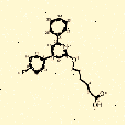 O=C(O)CCCCCOc1cc(-c2ccc(F)cc2)cc(-c2ccccc2)n1